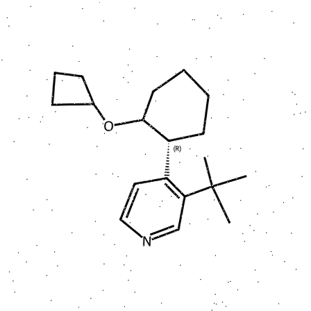 CC(C)(C)c1cnccc1[C@H]1CCCCC1OC1CCC1